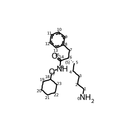 NCCCCC[C@@H](Cc1ccccc1)C(=O)NOC1CCCCC1